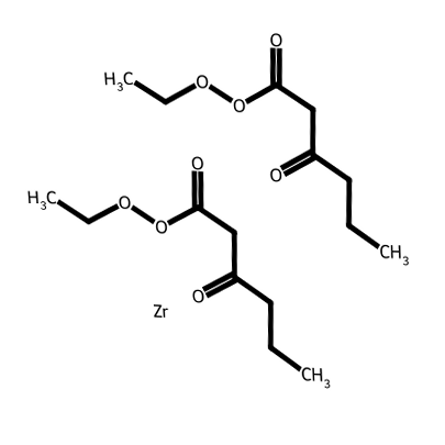 CCCC(=O)CC(=O)OOCC.CCCC(=O)CC(=O)OOCC.[Zr]